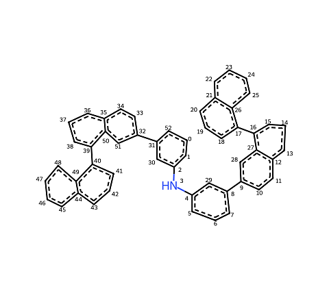 c1cc(Nc2cccc(-c3ccc4cccc(-c5cccc6ccccc56)c4c3)c2)cc(-c2ccc3cccc(-c4cccc5ccccc45)c3c2)c1